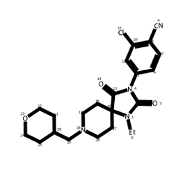 CCN1C(=O)N(c2ccc(C#N)c(Cl)c2)C(=O)C12CCN(CC1CCOCC1)CC2